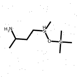 CC(N)CC[SiH](C)O[Si](C)(C)C